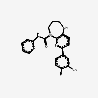 Cc1ccc(-c2ccc3c(n2)N(C(=O)Nc2ccccn2)CCCN3)cc1C#N